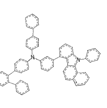 c1ccc(-c2ccc(N(c3ccc(-c4ccccc4-c4ccccc4)cc3)c3cccc(-c4cccc5c4c4ccc6ccccc6c4n5-c4ccccc4)c3)cc2)cc1